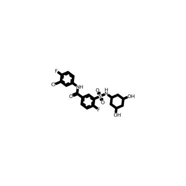 O=C(Nc1ccc(F)c(Cl)c1)c1ccc(F)c(S(=O)(=O)NC2CC(O)CC(O)C2)c1